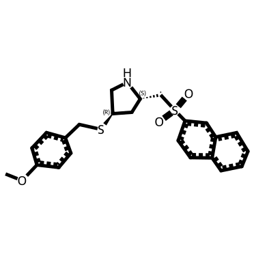 COc1ccc(CS[C@H]2CN[C@H]([CH]S(=O)(=O)c3ccc4ccccc4c3)C2)cc1